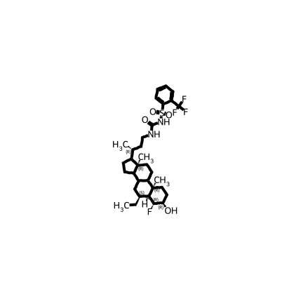 CC[C@H]1CC2C3CCC([C@H](C)CCNC(=O)NS(=O)(=O)c4ccccc4C(F)(F)F)[C@@]3(C)CCC2[C@@]2(C)CC[C@@H](O)[C@H](F)[C@@H]12